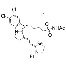 CCN1CC[Se]C1=CC=C1CCn2c1[n+](CCCCS(=O)(=O)NC(C)=O)c1cc(Cl)c(Cl)cc12.[I-]